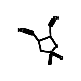 C#CC1CS(=O)(=O)SC1C#C